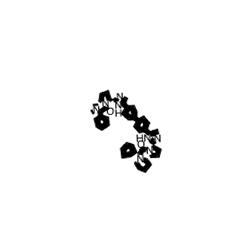 CN(C)C(C(=O)N1CCC[C@H]1c1ncc(-c2ccc(-c3ccc(-c4cnc([C@@H]5CCCN5C(=O)[C@@H](c5ccccc5)N5CCCCC5)[nH]4)cc3)cc2)[nH]1)c1ccccc1